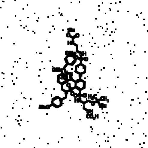 COc1ccc(CN(Cc2ccc(OC)cc2)S(=O)(=O)c2c(S(=O)(=O)N[C@@H](CNC(=O)O)CO[Si](C)(C)C(C)(C)C)ccc(N3CCC(S(=O)(=O)NCCNC(=O)OC(C)(C)C)CC3)c2-c2nnn(Cc3ccc(OC)cc3)n2)cc1